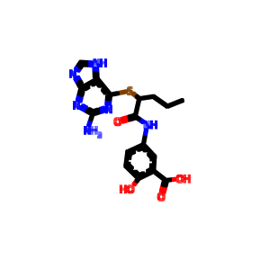 CCCC(Sc1nc(N)nc2nc[nH]c12)C(=O)Nc1ccc(O)c(C(=O)O)c1